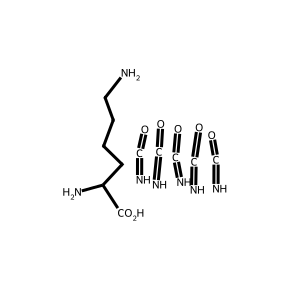 N=C=O.N=C=O.N=C=O.N=C=O.N=C=O.NCCCCC(N)C(=O)O